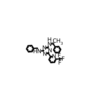 C[C@@H](Nc1nc(NCc2ccccc2)nc(-c2cccc(C(F)(F)F)n2)n1)c1ccccc1